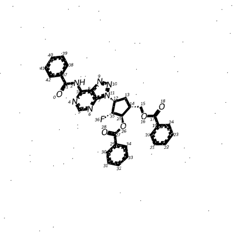 O=C(Nc1ncnc2c1nnn2[C@@H]1C[C@H](COC(=O)c2ccccc2)[C@@H](OC(=O)c2ccccc2)[C@@H]1F)c1ccccc1